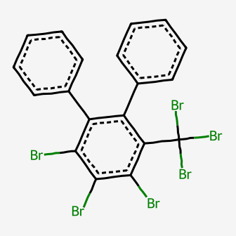 Brc1c(Br)c(-c2ccccc2)c(-c2ccccc2)c(C(Br)(Br)Br)c1Br